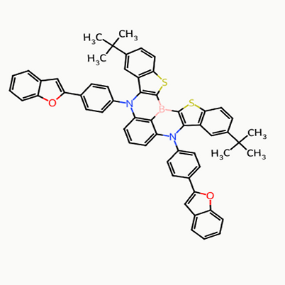 CC(C)(C)c1ccc2sc3c(c2c1)N(c1ccc(-c2cc4ccccc4o2)cc1)c1cccc2c1B3c1sc3ccc(C(C)(C)C)cc3c1N2c1ccc(-c2cc3ccccc3o2)cc1